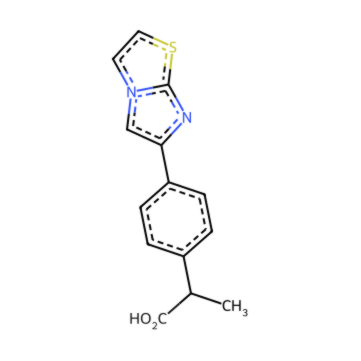 CC(C(=O)O)c1ccc(-c2cn3ccsc3n2)cc1